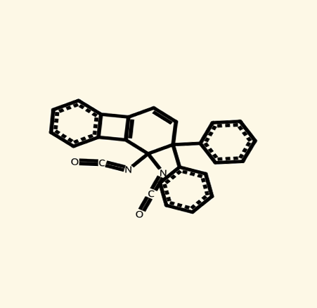 O=C=NC1(N=C=O)C2=C(C=CC1(c1ccccc1)c1ccccc1)c1ccccc12